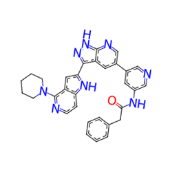 O=C(Cc1ccccc1)Nc1cncc(-c2cnc3[nH]nc(-c4cc5c(N6CCCCC6)nccc5[nH]4)c3c2)c1